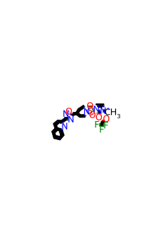 C[n+]1ccn(S(=O)(=O)N2CCC(c3nc(-c4ccc5ccccc5n4)no3)CC2)c1OC(=O)C(F)(F)F